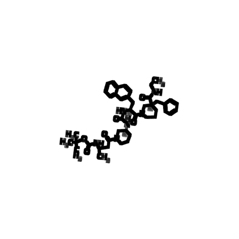 CCNC(=O)[C@]1(Cc2ccccc2)CCCN(C(=O)[C@H](Cc2ccc3ccccc3c2)NC(=O)N[C@@H]2CCCN(C(=O)CC(C)NC(=O)OC(C)(C)C)C2)C1